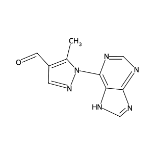 Cc1c(C=O)cnn1-c1ncnc2nc[nH]c12